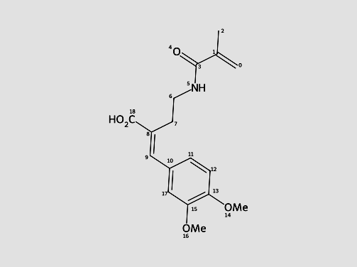 C=C(C)C(=O)NCC/C(=C\c1ccc(OC)c(OC)c1)C(=O)O